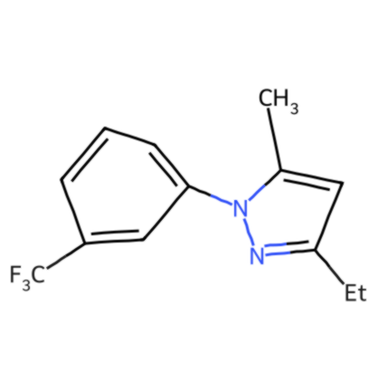 CCc1cc(C)n(-c2cccc(C(F)(F)F)c2)n1